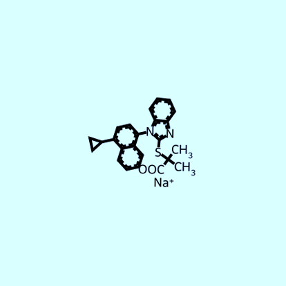 CC(C)(Sc1nc2ccccc2n1-c1ccc(C2CC2)c2ccccc12)C(=O)[O-].[Na+]